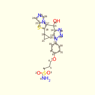 NS(=O)(=O)CCCOc1ccc(-n2cc(C(O)c3c(C4CC4)sc4cncn34)nn2)cc1